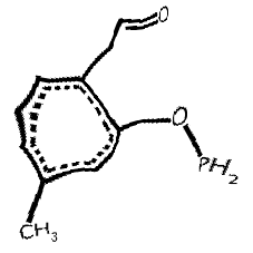 Cc1ccc(C=O)c(OP)c1